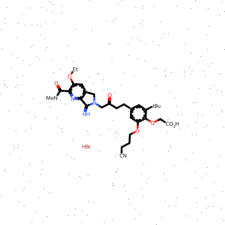 Br.CCOc1cc2c(nc1C(=O)NC)C(=N)N(CC(=O)CCc1cc(OCCCC#N)c(OCC(=O)O)c(C(C)(C)C)c1)C2